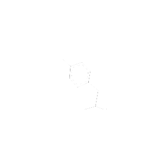 CCc1ccc(CC(C)C(C)=O)cc1